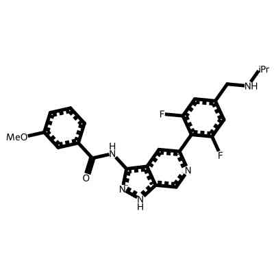 COc1cccc(C(=O)Nc2n[nH]c3cnc(-c4c(F)cc(CNC(C)C)cc4F)cc23)c1